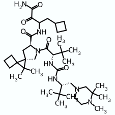 CN1CCN(C[C@@H](NC(=O)N[C@H](C(=O)N2C[C@]3(C[C@H]2C(=O)NC(CC2CCC2)C(=O)C(N)=O)C(C)(C)C32CCC2)C(C)(C)C)C(C)(C)C)CC1(C)C